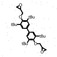 CC(C)(C)c1cc(-c2cc(C(C)(C)C)c(OCC3CO3)c(C(C)(C)C)c2)cc(C(C)(C)C)c1OCC1CO1